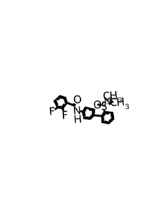 CN(C)[S+]([O-])c1ccccc1-c1ccc(NC(=O)c2cccc(F)c2F)cc1